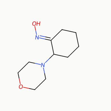 ON=C1CCCCC1N1CCOCC1